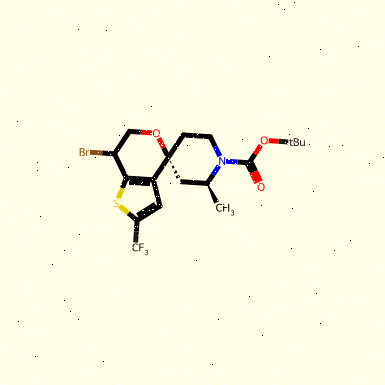 C[C@H]1C[C@@]2(CCN1C(=O)OC(C)(C)C)OCC(Br)c1sc(C(F)(F)F)cc12